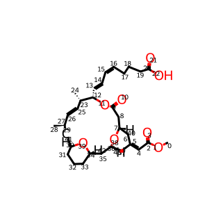 COC(=O)/C=C1\C[C@H]2CC(=O)O[C@@H](/C=C/C=C\CCCC(=O)O)[C@@H](C)/C=C/[C@H](C)C[C@H]3CCC[C@@H](C[C@@H](C1)O2)O3